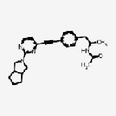 CC(=O)NC(C)Cc1ccc(C#Cc2ccnc(N3CC4CCCC4C3)n2)cc1